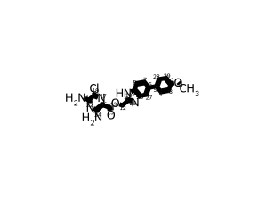 COc1ccc(-c2ccc3[nH]c(COC(=O)c4nc(Cl)c(N)nc4N)nc3c2)cc1